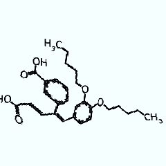 CCCCCOc1ccc(/C=C(/C=CC(=O)O)c2cccc(C(=O)O)c2)cc1OCCCCC